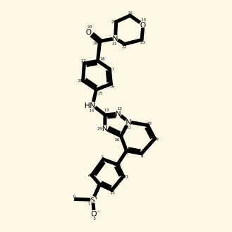 C[S+]([O-])c1ccc(-c2cccn3nc(Nc4ccc(C(=O)N5CCOCC5)cc4)nc23)cc1